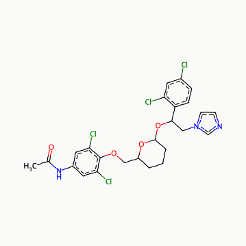 CC(=O)Nc1cc(Cl)c(OCC2CCCC(OC(Cn3ccnc3)c3ccc(Cl)cc3Cl)O2)c(Cl)c1